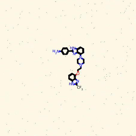 Nc1ccc(-c2nc3c(N4CCN(CCOc5cccc6[nH]c(C(F)(F)F)nc56)CC4)cccc3[nH]2)cc1